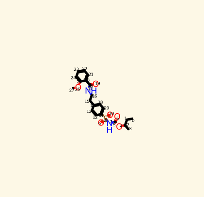 CCC(C)OC(=O)NS(=O)(=O)c1ccc(CCNC(=O)c2ccccc2OC)cc1